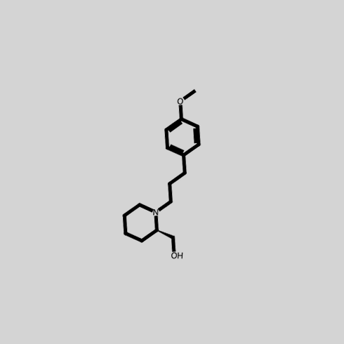 COc1ccc(CCCN2CCCC[C@@H]2CO)cc1